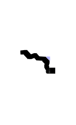 CC=CCC/C=C\CO